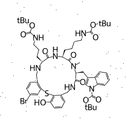 CN1C(=O)[C@H](CCCCNC(=O)OC(C)(C)C)NC(=O)[C@H](CCCNC(=O)OC(C)(C)C)NCc2ccc(Br)cc2Sc2c(O)cccc2CNC(=O)[C@@H]1Cc1cn(C(=O)OC(C)(C)C)c2ccccc12